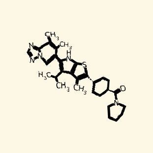 Cc1c(-c2[nH]c3sc([C@H]4CC[C@H](C(=O)N5CCCCC5)CC4)c(C)c3c2C(C)C)cn2ncnc2c1C